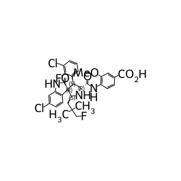 COc1cc(C(=O)O)ccc1NC(=O)[C@@H]1N[C@@H](CC(C)(C)CF)[C@@]2(C(=O)Nc3cc(Cl)ccc32)[C@H]1c1cccc(Cl)c1F